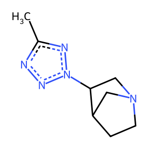 Cc1nnn(C2CN3CCC2C3)n1